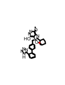 CCO[N+]1(Cc2ccc(-c3ccccc3-c3nnn[nH]3)cc2)C(C2CCCCC2)=Nc2c(OC)nnc(O)c21